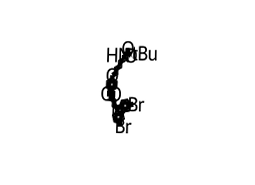 CC(C)(C)OC(=O)NCCCCCOc1ccc(S(=O)(=O)CCCn2c3ccc(Br)cc3c3cc(Br)ccc32)cc1